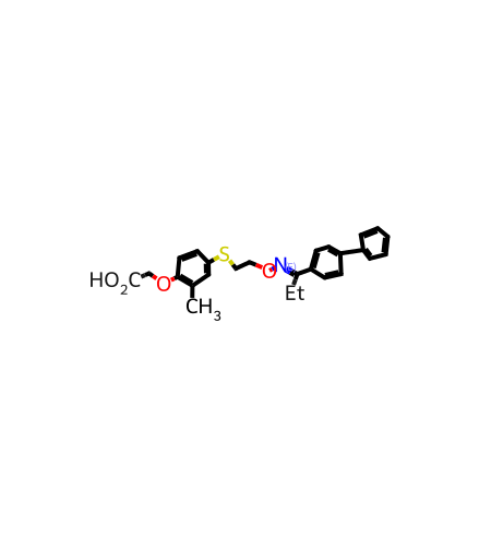 CC/C(=N\OCCSc1ccc(OCC(=O)O)c(C)c1)c1ccc(-c2ccccc2)cc1